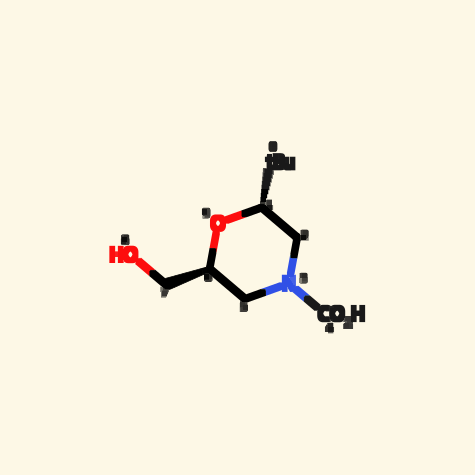 CC(C)(C)[C@@H]1CN(C(=O)O)C[C@@H](CO)O1